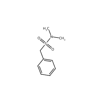 CN(C)S(=O)(=O)Cc1cc[c]cc1